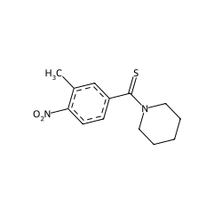 Cc1cc(C(=S)N2CCCCC2)ccc1[N+](=O)[O-]